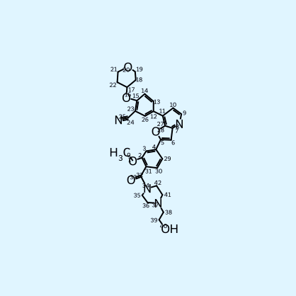 COc1cc(-c2cc3nccc(-c4ccc(OC5CCOCC5)c(C#N)c4)c3o2)ccc1C(=O)N1CCN(CCO)CC1